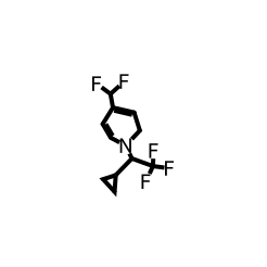 FC(F)C1=CCN(C(C2CC2)C(F)(F)F)C=C1